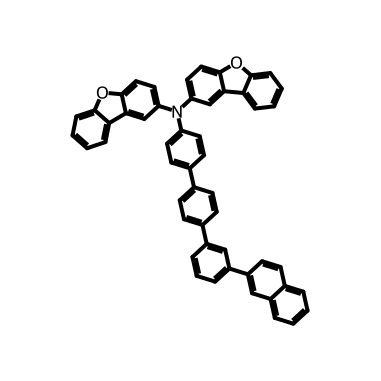 c1cc(-c2ccc(-c3ccc(N(c4ccc5oc6ccccc6c5c4)c4ccc5oc6ccccc6c5c4)cc3)cc2)cc(-c2ccc3ccccc3c2)c1